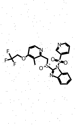 Cc1c(OCC(F)(F)F)ccnc1C[S+]([O-])c1nc2ccccc2n1S(=O)(=O)c1cccnc1